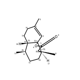 CC1=C[C@@]23OC(=O)[C@H](C)[C@@H]2CC[C@@H](C)[C@@H]3CC1